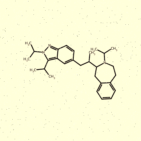 CC(C)c1c2cc(CC(C)C3Cc4ccccc4CCN3C(C)C)ccc2nn1C(C)C